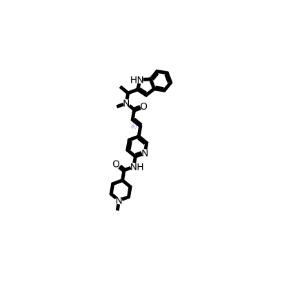 CC(c1cc2ccccc2[nH]1)N(C)C(=O)/C=C/c1ccc(NC(=O)C2CCN(C)CC2)nc1